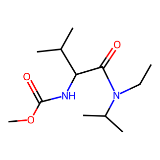 CCN(C(=O)C(NC(=O)OC)C(C)C)C(C)C